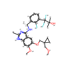 COCC1(COc2cc3c(N[C@H](C)c4cccc(C(F)(F)C(C)(C)O)c4F)nc(C)nc3cc2OC)CC1